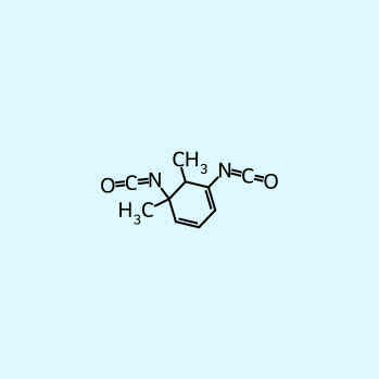 CC1C(N=C=O)=CC=CC1(C)N=C=O